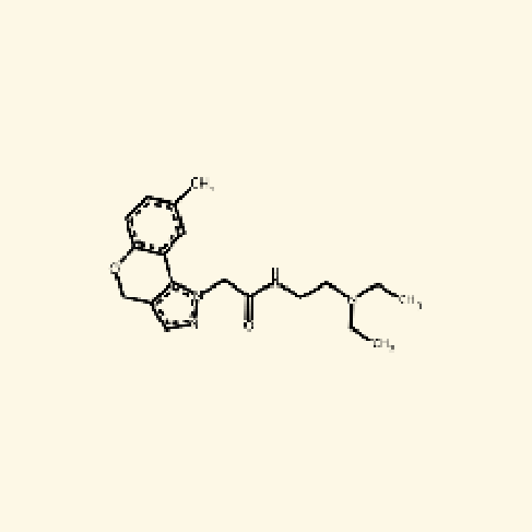 CCN(CC)CCNC(=O)Cn1ncc2c1-c1cc(C)ccc1OC2